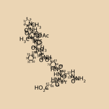 CC[C@H](C)[C@H](NC(=O)[C@H]1CCCCN1C)C(=O)N(C)[C@H](C[C@@H](OC(C)=O)c1nc(C(=O)N[C@@H](Cc2ccccc2)C[C@H](C)C(=O)NOCc2ccc(NC(=O)[C@H](CCCCNC(N)=O)NC(=O)[C@@H](NC(=O)CCCC(=O)O)C(C)C)cc2)cs1)C(C)C